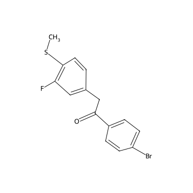 CSc1ccc(CC(=O)c2ccc(Br)cc2)cc1F